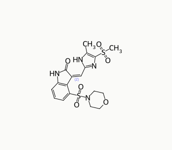 Cc1[nH]c(/C=C2\C(=O)Nc3cccc(S(=O)(=O)N4CCOCC4)c32)nc1S(C)(=O)=O